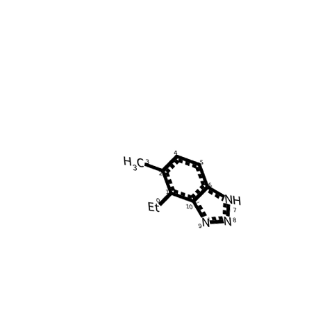 CCc1c(C)ccc2[nH]nnc12